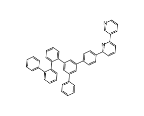 c1ccc(-c2cc(-c3ccc(-c4cccc(-c5cccnc5)n4)cc3)cc(-c3ccccc3-c3ccccc3-c3ccccc3)c2)cc1